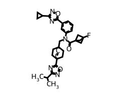 CC(C)c1noc(C23CCC(CN(C(=O)C45CC(F)(C4)C5)c4cccc(-c5nc(C6CC6)no5)c4)(CC2)CC3)n1